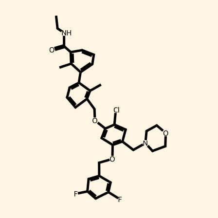 CCNC(=O)c1cccc(-c2cccc(COc3cc(OCc4cc(F)cc(F)c4)c(CN4CCOCC4)cc3Cl)c2C)c1C